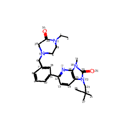 CCN1CCN(Cc2cccc(-c3ccc4c(n3)n(C)c(=O)n4CC(C)(C)C)c2)CC1=O